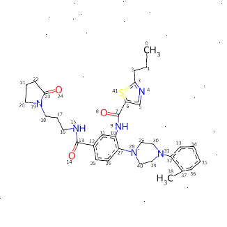 CCCc1ncc(C(=O)Nc2cc(C(=O)NCCCN3CCCC3=O)ccc2N2CCN(c3ccccc3C)CC2)s1